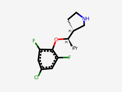 CC(C)[C@@H](Oc1c(F)cc(Cl)cc1F)[C@@H]1CCNC1